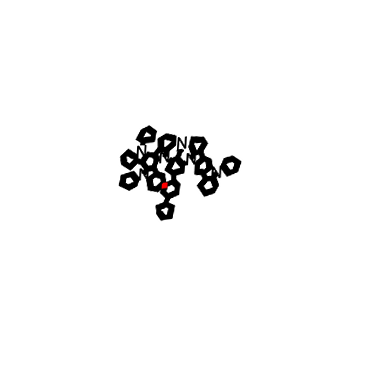 N#Cc1c(-n2c3ccccc3c3cc4c(cc32)c2ccccc2n4-c2ccccc2)cc(-c2ccc(-c3ccccc3)cc2)cc1-n1c2ccccc2c2c3c(c4ccccc4n3-c3ccccc3)c3c(c4ccccc4n3-c3ccccc3)c21